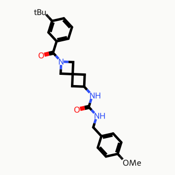 COc1ccc(CNC(=O)NC2CC3(C2)CN(C(=O)c2cccc(C(C)(C)C)c2)C3)cc1